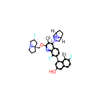 CCc1c(F)ccc2cc(O)cc(-c3ccc4c(N5C[C@H]6CC[C@@H](C5)N6)c(C(F)(F)F)c(OC[C@@]56CCCN5C[C@H](F)C6)nc4c3F)c12